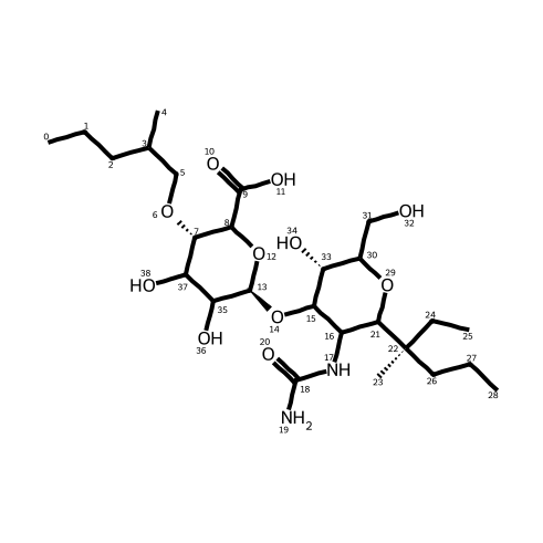 CCCC(C)CO[C@@H]1C(C(=O)O)O[C@@H](OC2C(NC(N)=O)C([C@@](C)(CC)CCC)OC(CO)[C@H]2O)C(O)C1O